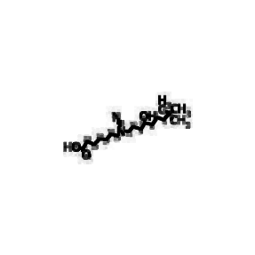 CC(C)(C)CCCC(O)CCCN(C#N)CCCCCCC(=O)O